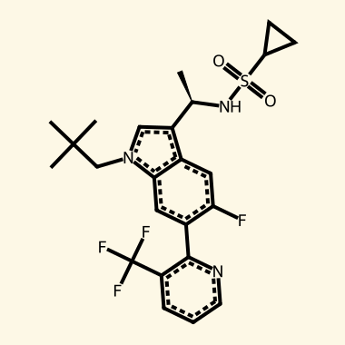 C[C@@H](NS(=O)(=O)C1CC1)c1cn(CC(C)(C)C)c2cc(-c3ncccc3C(F)(F)F)c(F)cc12